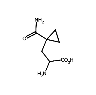 NC(=O)C1(CC(N)C(=O)O)CC1